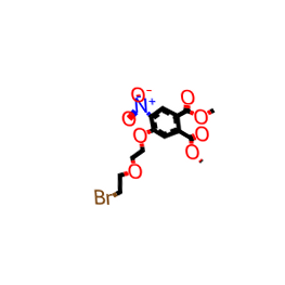 COC(=O)c1cc(OCCOCCBr)c([N+](=O)[O-])cc1C(=O)OC